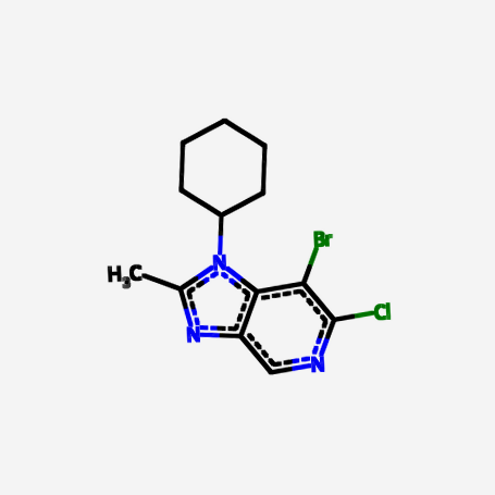 Cc1nc2cnc(Cl)c(Br)c2n1C1CCCCC1